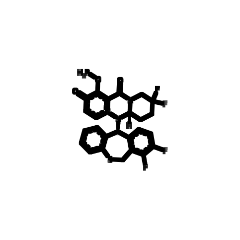 O=C1c2c(OP)c(=O)ccn2N([C@@H]2c3ccccc3SCc3c2ccc(F)c3F)[C@@H]2CCC(F)(F)CN12